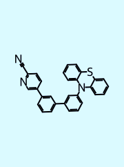 N#Cc1ccc(-c2cccc(-c3cccc(N4c5ccccc5Sc5ccccc54)c3)c2)cn1